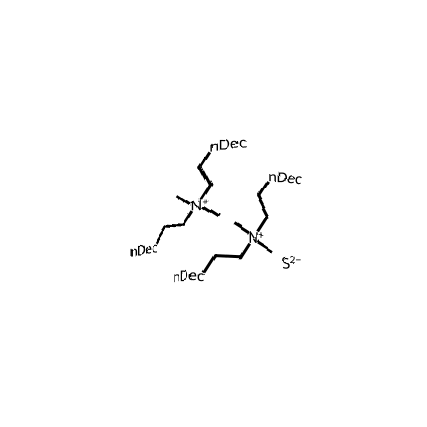 CCCCCCCCCCCC[N+](C)(C)CCCCCCCCCCCC.CCCCCCCCCCCC[N+](C)(C)CCCCCCCCCCCC.[S-2]